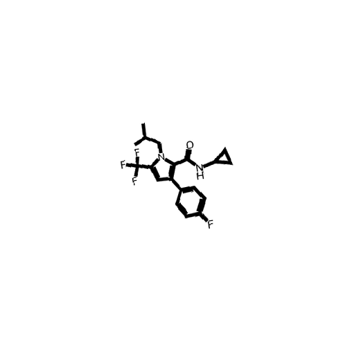 CC(C)Cn1c(C(F)(F)F)cc(-c2ccc(F)cc2)c1C(=O)NC1CC1